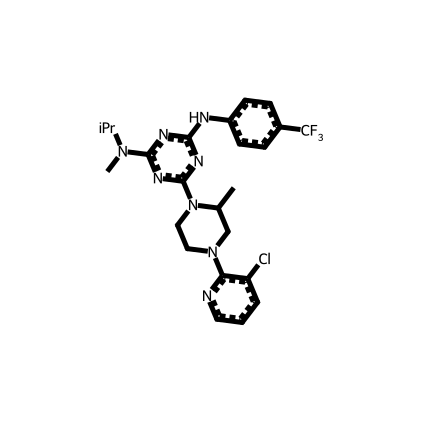 CC(C)N(C)c1nc(Nc2ccc(C(F)(F)F)cc2)nc(N2CCN(c3ncccc3Cl)CC2C)n1